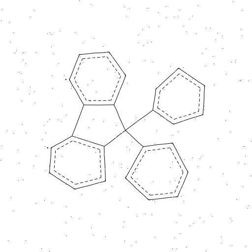 [c]1cccc2c1-c1[c]cccc1C2(c1ccccc1)c1ccccc1